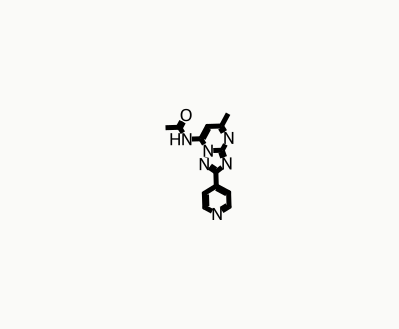 CC(=O)Nc1cc(C)nc2nc(-c3ccncc3)nn12